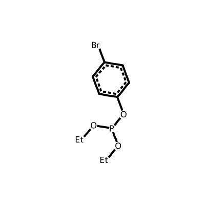 CCOP(OCC)Oc1ccc(Br)cc1